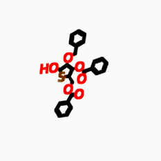 O=C(OC[C@H]1SC(O)[C@H](OCc2ccccc2)[C@H]1OC(=O)c1ccccc1)c1ccccc1